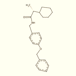 C[C@@H](C(=O)NCc1ccc(OCc2ccccc2)cc1)C1CCCCC1